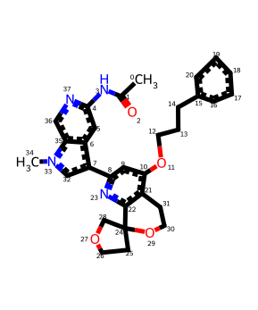 CC(=O)Nc1cc2c(-c3cc(OCCCc4ccccc4)c4c(n3)C3(CCOC3)OCC4)cn(C)c2cn1